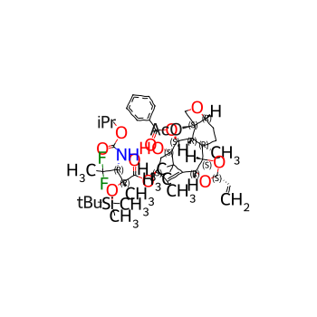 C=C[C@@H]1O[C@@H]2C3=C(C)[C@@H](OC(=O)[C@](C)(O[Si](C)(C)C(C)(C)C)[C@@H](NC(=O)OC(C)C)C(C)(F)F)C[C@@](O)([C@@H](OC(=O)c4ccccc4)[C@H]4[C@@](C)(CC[C@H]5OC[C@]54OC(C)=O)[C@@H]2O1)C3(C)C